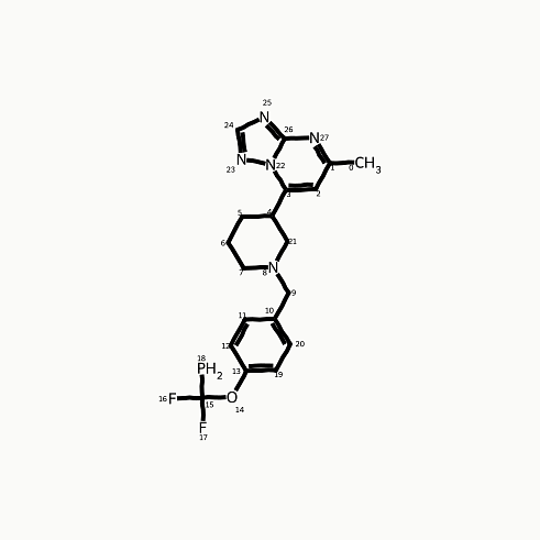 Cc1cc(C2CCCN(Cc3ccc(OC(F)(F)P)cc3)C2)n2ncnc2n1